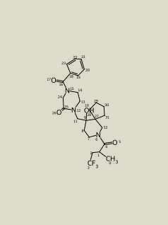 CC(CC(F)(F)F)C(=O)N1CCC(O)(CN2CCN(C(=O)c3ccccc3)CC2=O)C2(CCCC2)C1